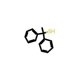 CC(S)(c1ccccc1)c1ccccc1